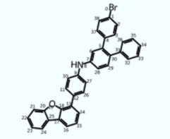 Brc1ccc(-c2cc(Nc3ccc(-c4cccc5c4oc4ccccc45)cc3)ccc2-c2ccccc2)cc1